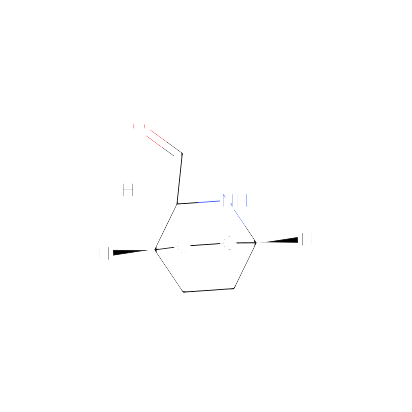 O=C[C@H]1N[C@H]2CC[C@@H]1CC2